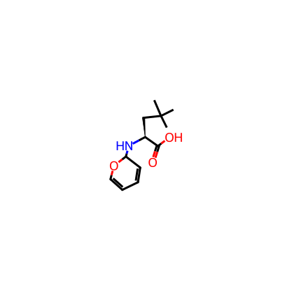 CC(C)(C)C[C@H](NC1C=CC=CO1)C(=O)O